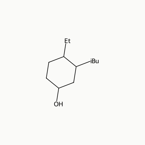 CCC(C)C1CC(O)CCC1CC